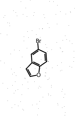 Brc1c[c]c2occc2c1